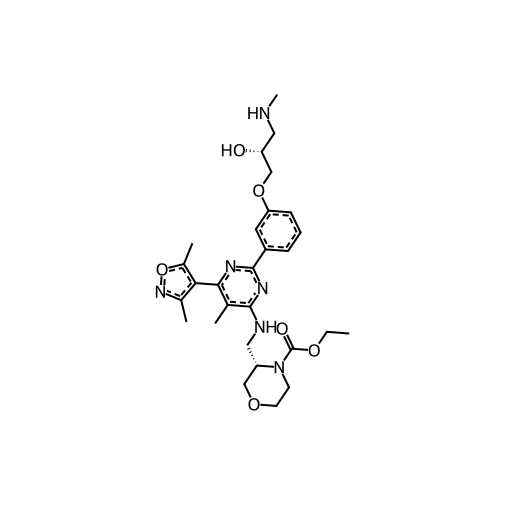 CCOC(=O)N1CCOC[C@@H]1CNc1nc(-c2cccc(OC[C@H](O)CNC)c2)nc(-c2c(C)noc2C)c1C